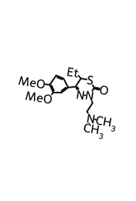 CCC1SC(=O)N(CCN(C)C)N=C1c1ccc(OC)c(OC)c1